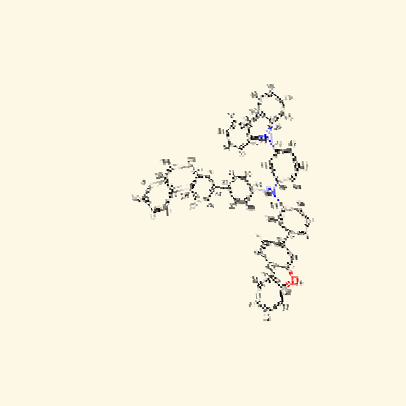 c1cc(-c2ccc3c(c2)oc2ccccc23)cc(N(c2ccc(-c3ccc4c(ccc5ccccc54)c3)cc2)c2cccc(-n3c4ccccc4c4ccccc43)c2)c1